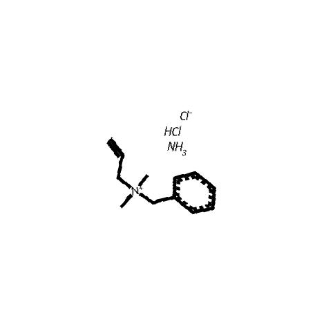 C=CC[N+](C)(C)Cc1ccccc1.Cl.N.[Cl-]